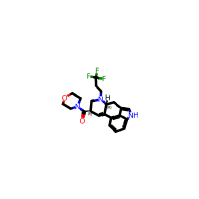 O=C([C@@H]1C=C2c3cccc4[nH]cc(c34)C[C@H]2N(CCC(F)(F)F)C1)N1CCOCC1